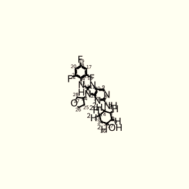 [2H]C1C([2H])C([2H])(Nc2ncc3nc(Nc4c(F)cc(F)cc4F)n(C4CCOC4)c3n2)C([2H])([2H])CC1([2H])O